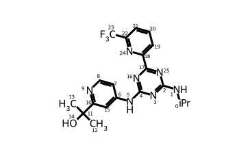 CC(C)Nc1nc(Nc2ccnc(C(C)(C)O)c2)nc(-c2cccc(C(F)(F)F)n2)n1